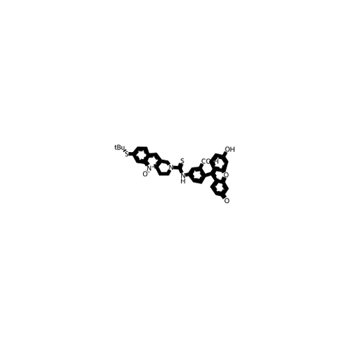 CC(C)(C)Sc1ccc2cc3c([n+]([O-])c2c1)CCN(C(=S)Nc1ccc(-c2c4ccc(=O)cc-4oc4cc(O)ccc24)c(C(=O)O)c1)C3